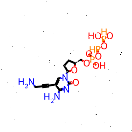 NCC#Cc1cn(C2CC[C@@H](COP(=O)(O)OPO[PH](=O)O)O2)c(=O)nc1N